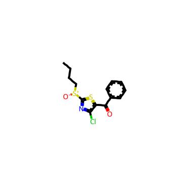 CCCC[S+]([O-])c1nc(Cl)c(C(=O)c2ccccc2)s1